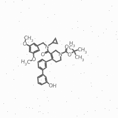 COc1cc(CN(C(=O)C2=C(c3cccc(-c4cccc(O)c4)c3)CCN(C(=O)OC(C)(C)C)C2)C2CC2)cc(OC)c1